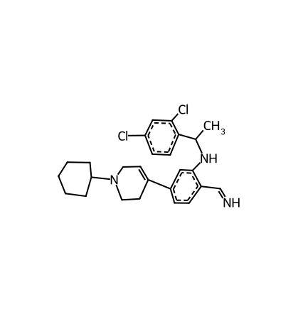 CC(Nc1cc(C2=CCN(C3CCCCC3)CC2)ccc1C=N)c1ccc(Cl)cc1Cl